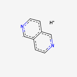 [H+].[c]1nccc2cnccc12